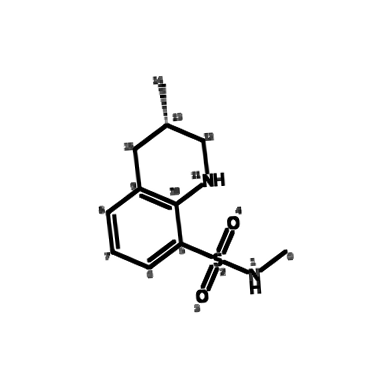 CNS(=O)(=O)c1cccc2c1NC[C@@H](C)C2